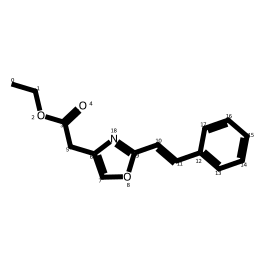 CCOC(=O)Cc1coc(/C=C/c2ccccc2)n1